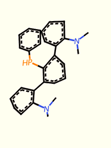 CN(C)c1ccccc1-c1cccc(-c2ccccc2N(C)C)c1Pc1ccccc1